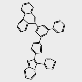 c1ccc(-c2c(-c3ccc(-c4cc(-c5cccnc5)cc(-c5cc6ccccc6c6ccccc56)c4)cc3)nc3ccccn23)cc1